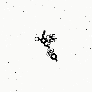 C=CCc1c(Cl)cc2c(c1OS(=O)(=O)C(F)(F)F)OC(COS(=O)(=O)c1ccc(C)cc1)C2